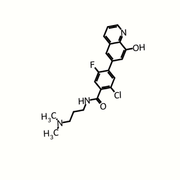 CN(C)CCCNC(=O)c1cc(F)c(-c2cc(O)c3ncccc3c2)cc1Cl